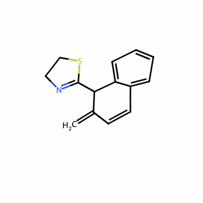 C=C1C=Cc2ccccc2C1C1=NCCS1